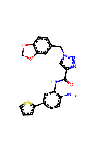 Nc1ccc(-c2cccs2)cc1NC(=O)c1cn(Cc2ccc3c(c2)OCO3)nn1